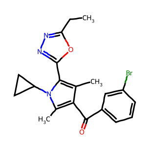 CCc1nnc(-c2c(C)c(C(=O)c3cccc(Br)c3)c(C)n2C2CC2)o1